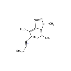 CCOC(=O)/C=C/c1cc(C)c2c(nnn2C)c1C